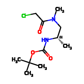 C[C@@H](CN(C)C(=O)CCl)NC(=O)OC(C)(C)C